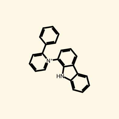 c1ccc(-c2cccc[n+]2-c2cccc3c2[nH]c2ccccc23)cc1